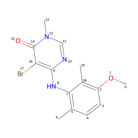 COc1ccc(C)c(Nc2ncn(C)c(=O)c2Br)c1C